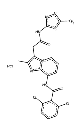 Cc1nc2c(NC(=O)c3c(Cl)cccc3Cl)cccn2c1CC(=O)Nc1nnc(C(F)(F)F)s1.Cl